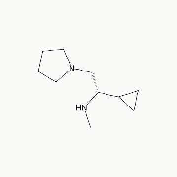 CN[C@H](CN1CCCC1)C1CC1